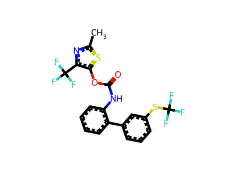 Cc1nc(C(F)(F)F)c(OC(=O)Nc2ccccc2-c2cccc(SC(F)(F)F)c2)s1